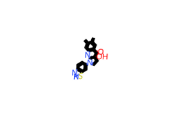 Cc1cc2c(cc1C)C(=O)[C@]1(O)CCN(c3ccc4nnsc4c3)C1=N2